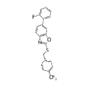 Fc1ccccc1-c1ccc2nc(SCc3ccc(C(F)(F)F)cc3)oc2c1